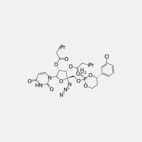 C=P1(OC[C@@]2(N=[N+]=[N-])OC(n3ccc(=O)[nH]c3=O)[C@H](OC(=O)CC(C)C)[C@@H]2OC(=O)CC(C)C)OCC[C@@H](c2cccc(Cl)c2)O1